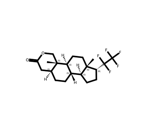 C[C@]12COC(=O)C[C@@H]1CC[C@@H]1[C@@H]2CC[C@@]2(C)[C@H]1CC[C@H]2C(F)(F)C(F)(F)F